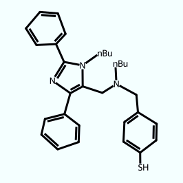 CCCCN(Cc1ccc(S)cc1)Cc1c(-c2ccccc2)nc(-c2ccccc2)n1CCCC